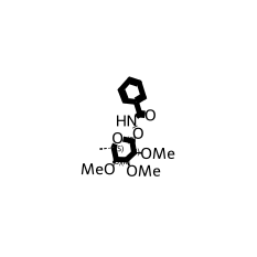 CO[C@@H]1[C@@H](OC)[C@H](C)O[C@@H](ONC(=O)c2ccccc2)[C@@H]1OC